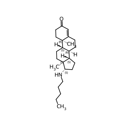 CCCCCN[C@H]1CC[C@H]2[C@@H]3CCC4=CC(=O)CC[C@]4(C)[C@H]3CC[C@]12C